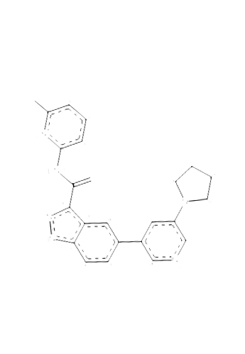 O=C(Nc1cccc(C(F)(F)F)n1)c1n[nH]c2ccc(-c3cncc(N4CCCC4)c3)cc12